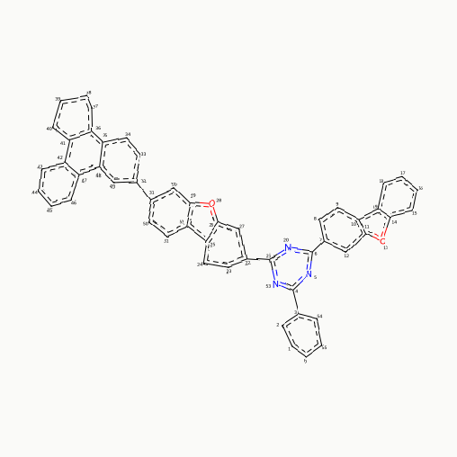 c1ccc(-c2nc(-c3ccc4c(c3)oc3ccccc34)nc(-c3ccc4c(c3)oc3cc(-c5ccc6c7ccccc7c7ccccc7c6c5)ccc34)n2)cc1